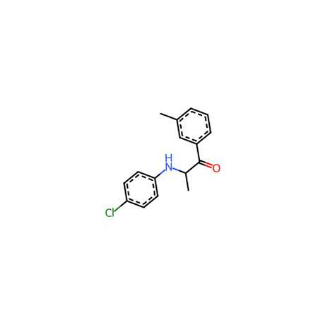 Cc1cccc(C(=O)C(C)Nc2ccc(Cl)cc2)c1